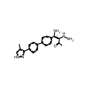 CC(=O)/C(NN)=C(/N)c1ccc(-c2ccc(-c3n[nH]cc3C)cc2)cc1